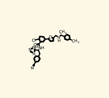 Cc1ccc([C@@H](C)NCc2ccc(-c3ccc(Cl)c(C(=O)NC(Cc4ccc(C#N)cc4)c4ncn[nH]4)c3)o2)cc1